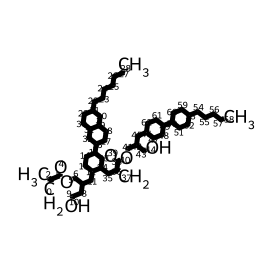 C=C(C)C(=O)OCC(CCO)CC1CCC(C2CCC3CC(CCCCCCC)CCC3C2)CC1CC(=C)C(=O)OCC(CO)CC1CCC(C2CCC(CCCCC)CC2)CC1